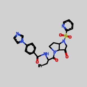 CC(C)CC(NC(=O)c1ccc(-n2ccnc2)cc1)C(=O)N1CCC2C1C(=O)CN2S(=O)(=O)c1ccccn1